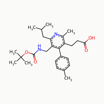 Cc1ccc(-c2c(CCC(=O)O)c(C)nc(CC(C)C)c2CNC(=O)OC(C)(C)C)cc1